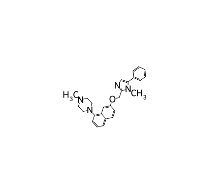 CN1CCN(c2cccc3ccc(OCc4ncc(-c5ccccc5)n4C)cc23)CC1